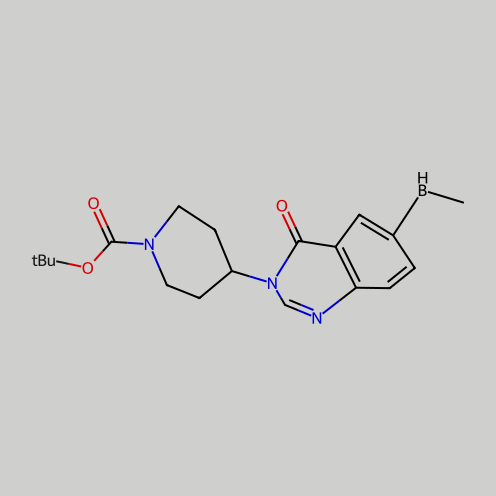 CBc1ccc2ncn(C3CCN(C(=O)OC(C)(C)C)CC3)c(=O)c2c1